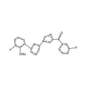 COc1c(F)cccc1-c1cccc(-n2cnc(C(=O)c3cccc(F)c3)c2)c1